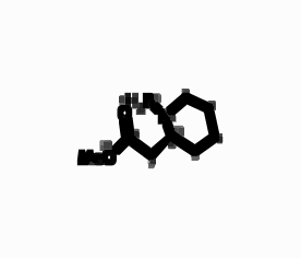 BN1CCCC[C@H]1CC(=O)OC